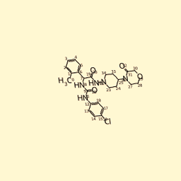 Cc1ccccc1C(NC(=O)Nc1ccc(Cl)cc1)C(=O)NN1CCC(N2CCOCC2=O)CC1